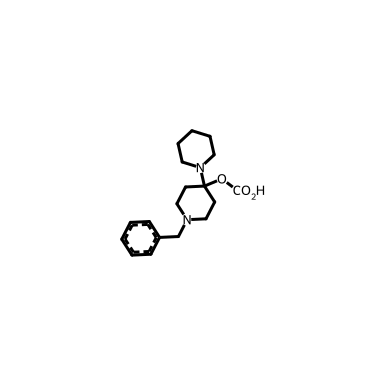 O=C(O)OC1(N2CCCCC2)CCN(Cc2ccccc2)CC1